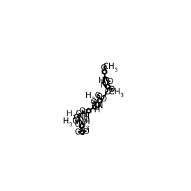 COc1ccc(C2=CN3C(=O)c4cc(OC)c(OCCCOc5cc6c(cc5OC)C(=O)N5C=C(c7ccc(NC(=O)[C@H](C)NC(=O)[C@@H](Nc8ccc(N9C(=O)C=CC9=O)cc8)C(C)C)cc7)C[C@H]5C=N6)cc4N=C[C@@H]3C2)cc1